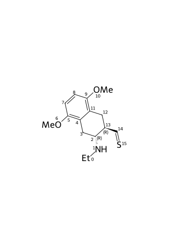 CCN[C@@H]1Cc2c(OC)ccc(OC)c2C[C@H]1C=S